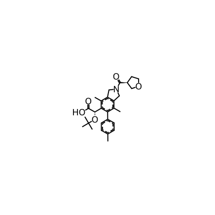 Cc1ccc(-c2c(C)c3c(c(C)c2[C@H](OC(C)(C)C)C(=O)O)CN(C(=O)[C@H]2CCOC2)C3)cc1